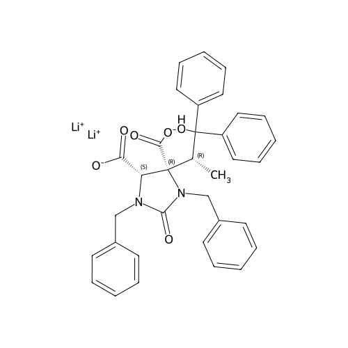 C[C@@H](C(O)(c1ccccc1)c1ccccc1)[C@]1(C(=O)[O-])[C@@H](C(=O)[O-])N(Cc2ccccc2)C(=O)N1Cc1ccccc1.[Li+].[Li+]